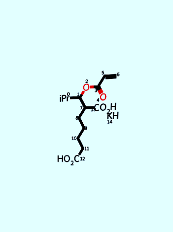 [CH2]C(C)C(OC(=O)C=C)C(CCCCC(=O)O)C(=O)O.[KH]